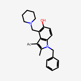 CC(=O)c1c(C)n(Cc2ccccc2)c2ccc(O)c(CN3CCCCC3)c12